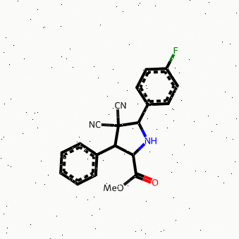 COC(=O)C1NC(c2ccc(F)cc2)C(C#N)(C#N)C1c1ccccc1